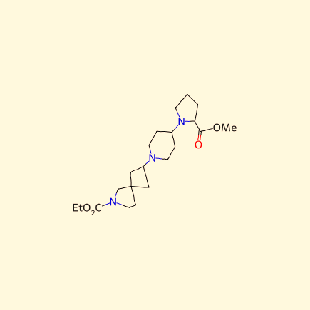 CCOC(=O)N1CCC2(CC(N3CCC(N4CCCC4C(=O)OC)CC3)C2)C1